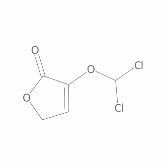 O=C1OCC=C1OC(Cl)Cl